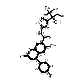 CCC(O)(c1nnc(NC(C)c2cc3oc(=O)cc(-c4ccc(F)cc4)c3cc2F)o1)C(F)(F)F